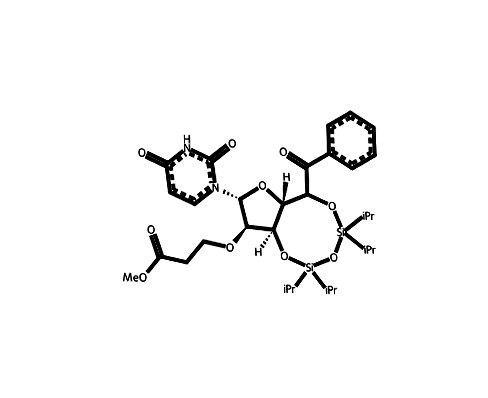 COC(=O)CCO[C@@H]1[C@@H]2O[Si](C(C)C)(C(C)C)O[Si](C(C)C)(C(C)C)OC(C(=O)c3ccccc3)[C@H]2O[C@H]1n1ccc(=O)[nH]c1=O